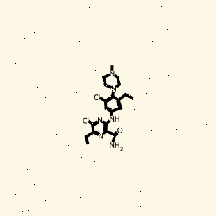 CCc1cc(Nc2nc(Cl)c(CC)nc2C(N)=O)cc(Cl)c1N1CCN(C)CC1